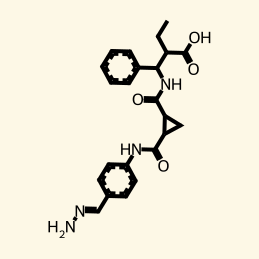 CCC(C(=O)O)C(NC(=O)C1CC1C(=O)Nc1ccc(C=NN)cc1)c1ccccc1